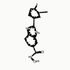 Cc1cc(-c2nc3ccc(C(=O)NO)cc3[nH]2)ccc1F